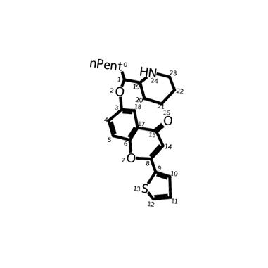 CCCCCC(Oc1ccc2oc(-c3cccs3)cc(=O)c2c1)C1CCCCN1